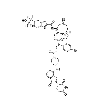 CCN1CC[C@H]2CC[C@@H](C(=O)N(CCC(=O)N3CCC(Nc4cccc5c4CN(C4CCC(=O)NC4=O)C5=O)CC3)c3ccc(Br)cc3)N2C(=O)[C@@H](NC(=O)c2cc3cc(C(F)(F)P(=O)(O)O)ccc3s2)C1